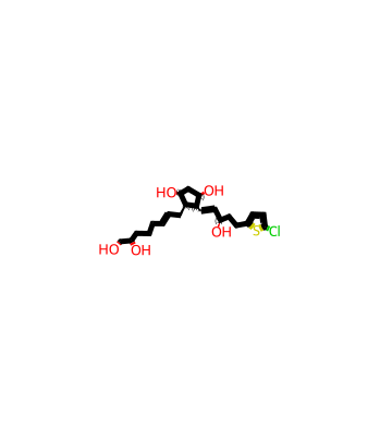 OCC(O)CCCC=CC[C@@H]1[C@@H](C=C[C@@H](O)CCc2ccc(Cl)s2)[C@H](O)C[C@@H]1O